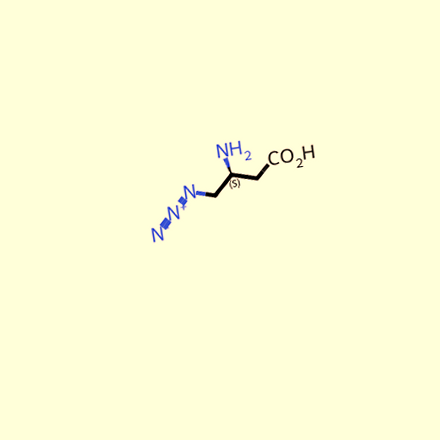 [N-]=[N+]=NC[C@@H](N)CC(=O)O